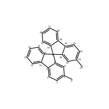 Cc1ccc2c(c1)C1(c3ccccc3-2)c2ccccc2-c2ccc(C)cc21